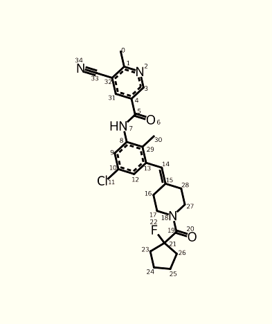 Cc1ncc(C(=O)Nc2cc(Cl)cc(C=C3CCN(C(=O)C4(F)CCCC4)CC3)c2C)cc1C#N